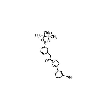 CC1(C)OB(c2cccc(CC(=O)N3CCC(c4cccc(C#N)c4)=N3)c2)OC1(C)C